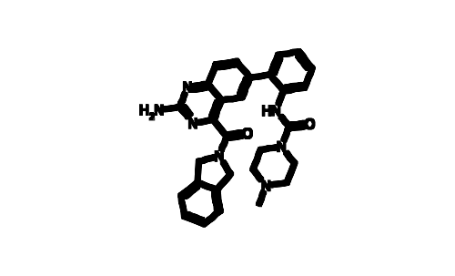 CN1CCN(C(=O)Nc2ccccc2-c2ccc3nc(N)nc(C(=O)N4Cc5ccccc5C4)c3c2)CC1